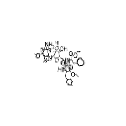 CCOC(=O)C(Cc1ccccc1)NP(=O)(NC(Cc1ccccc1)C(=O)OCC)OC[C@H]1O[C@@H](n2cnc3c(OC)nc(N)nc32)[C@@](C)(O)C1O